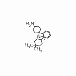 CC1(C)CCC(c2ccccc2C2(N)CCC(N)CC2)CC1